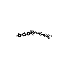 [CH2+][CH-]COCCCOCCCCc1cnc(-c2ccc(-c3ccc(-c4ccc(C)cc4)cc3)cc2)nc1